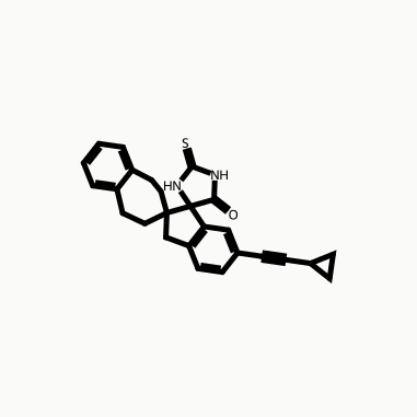 O=C1NC(=S)NC12c1cc(C#CC3CC3)ccc1CC21CCc2ccccc2CC1